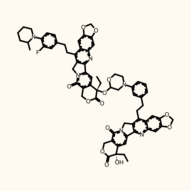 CC[C@@]1(O)C(=O)OCc2c1cc1n(c2=O)Cc2c-1nc1cc3c(cc1c2CCc1cccc(N2CCOC(O[C@]4(CC)C(=O)OCc5c4cc4n(c5=O)Cc5c-4nc4cc6c(cc4c5CCc4ccc(N5CCCCC5C)c(F)c4)OCO6)C2)c1)OCO3